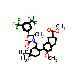 COC(=O)C1CCc2cc(OC)c(C3=C(CN4C(=O)O[C@H](c5cc(C(F)(F)F)cc(C(F)(F)F)c5)[C@@H]4C)CC(C)(C)CC3)cc2C1